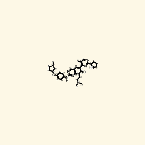 Cc1cnc(C2CCCN2)nc1-c1cc2cnc(Nc3ccc(OC4CCN(C)C4)cc3)nc2n(CCN(C)C)c1=O